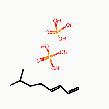 C=CC=CCCC(C)C.O=P(O)(O)O.O=P(O)(O)O